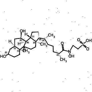 C[C@H](CCC[C@@H](C)[C@H]1CC[C@H]2[C@@H]3[C@H](O)C[C@@H]4C[C@H](O)CC[C@]4(C)[C@H]3CC[C@]12C)C(=O)N(O)CCS(=O)(=O)O